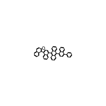 c1ccc(-c2ccc(-c3c4ccccc4c(-c4cc5oc6ccc7ccccc7c6c5c5ccccc45)c4ccccc34)c3ccccc23)cc1